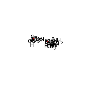 Cc1cc(S(=O)(=O)NCCCCN2CCN(C(=O)COc3cccc4c3C(=O)N(C3CCC(=O)NC3=O)C4=O)CC2)ccc1Nc1ncc(Br)c(Nc2cccc(F)c2C(N)=O)n1